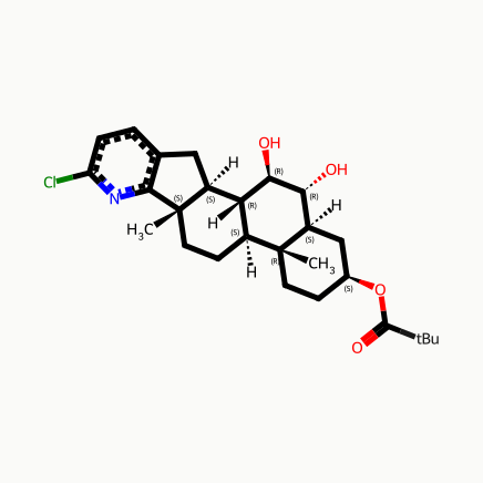 CC(C)(C)C(=O)O[C@H]1CC[C@@]2(C)[C@H](C1)[C@@H](O)[C@H](O)[C@@H]1[C@@H]2CC[C@]2(C)c3nc(Cl)ccc3C[C@@H]12